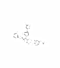 CC(C)Cc1cnc(C[C@H]2CC[C@H](C(C(=O)NCc3ccccc3)c3ccc(C4=CC(C)N=C4)cc3)CC2)nc1